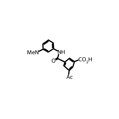 CNc1cccc(NC(=O)c2cc(C(C)=O)cc(C(=O)O)c2)c1